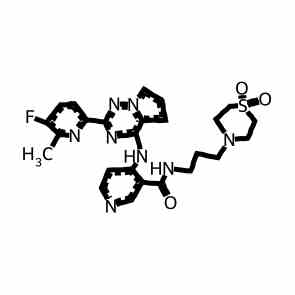 Cc1nc(-c2nc(Nc3ccncc3C(=O)NCCCN3CCS(=O)(=O)CC3)c3cccn3n2)ccc1F